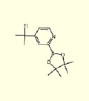 CCC(C)(C)c1ccnc(B2OC(C)(C)C(C)(C)O2)c1